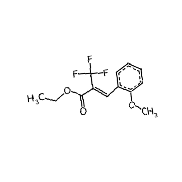 CCOC(=O)C(=Cc1ccccc1OC)C(F)(F)F